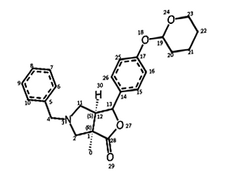 C[C@]12CN(Cc3ccccc3)C[C@H]1C(c1ccc(OC3CCCCO3)cc1)OC2=O